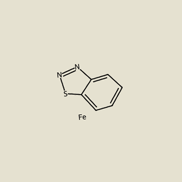 [Fe].c1ccc2snnc2c1